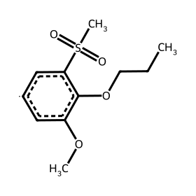 CCCOc1c(OC)c[c]cc1S(C)(=O)=O